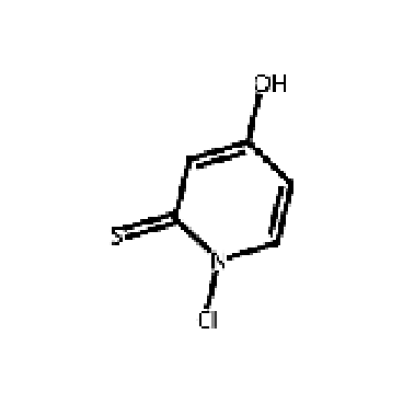 Oc1ccn(Cl)c(=S)c1